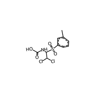 Cc1cccc(S(=O)(=O)C(NC(=O)O)C(Cl)Cl)c1